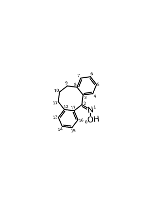 ON=C1c2ccccc2CCCc2ccccc21